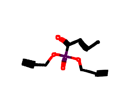 C#CCOP(=O)(OCC#C)C(=O)/C=C/C